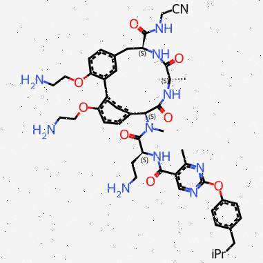 Cc1nc(Oc2ccc(CC(C)C)cc2)ncc1C(=O)N[C@@H](CCN)C(=O)N(C)[C@@H]1C(=O)N[C@@H](C)C(=O)N[C@H](C(=O)NCC#N)Cc2ccc(OCCN)c(c2)-c2cc1ccc2OCCN